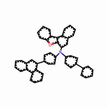 c1ccc(-c2ccc(N(c3ccc(-c4cc5ccccc5c5ccccc45)cc3)c3cc4ccccc4c4c3oc3ccccc34)cc2)cc1